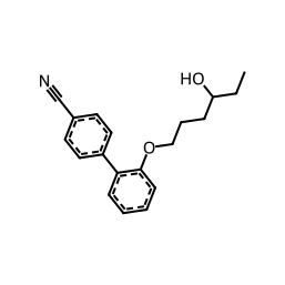 CCC(O)CCCOc1ccccc1-c1ccc(C#N)cc1